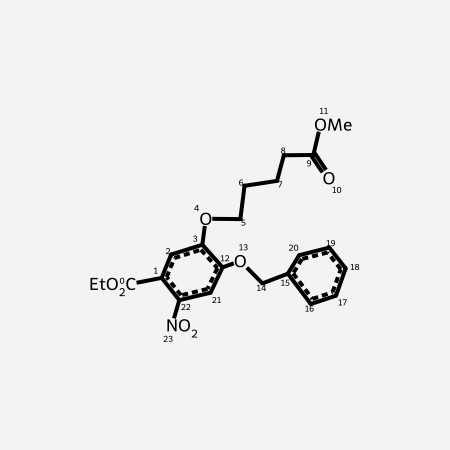 CCOC(=O)c1cc(OCCCCC(=O)OC)c(OCc2ccccc2)cc1[N+](=O)[O-]